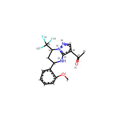 COc1ccccc1C1CC(C(F)(F)F)n2ncc(C(C)=O)c2N1